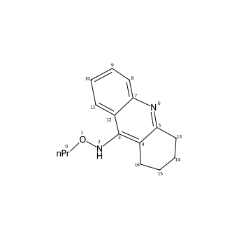 CCCONc1c2c(nc3ccccc13)CCCC2